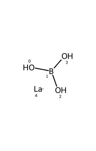 OB(O)O.[La]